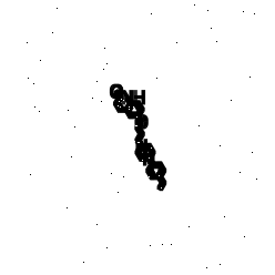 CCc1ccc(N2CCN(CCCOc3ccc4[nH]c(=O)ccc4c3)CC2)cc1